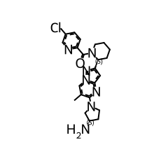 Cc1cn2nc([C@@H]3CCCCN3C(=O)c3ccc(Cl)cn3)cc2nc1N1CC[C@H](N)C1